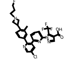 Cc1cc(-c2ncc(Cl)cc2-c2cccc(-n3ncc(C(=O)O)c3C(F)(F)F)n2)ccc1C1CN(CCCF)C1